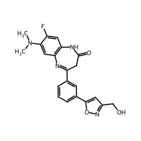 CN(C)c1cc2c(cc1F)NC(=O)CC(c1cccc(-c3cc(CO)no3)c1)=N2